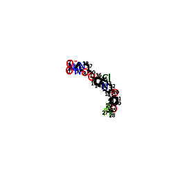 O=[N+]([O-])c1cn2c(n1)OC(COc1ccc(N3CCC(Oc4ccc(OC(F)(F)F)cc4)CC3)c(Cl)c1)CC2